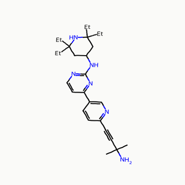 CCC1(CC)CC(Nc2nccc(-c3ccc(C#CC(C)(C)N)nc3)n2)CC(CC)(CC)N1